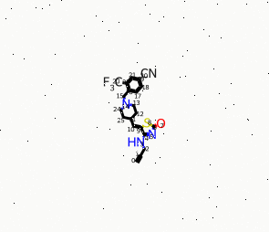 C#CCNC1=NC(=O)S/C1=C\C1CCN(Cc2ccc(C#N)cc2C(F)(F)F)CC1